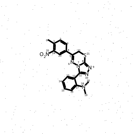 Cc1ccc(C2=Nn3c(nnc3-c3ccccc3N(C)C)SC2)cc1[N+](=O)[O-]